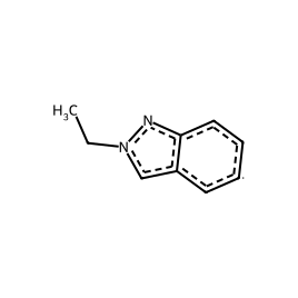 CCn1cc2c[c]ccc2n1